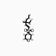 CCCC(C)(/C=C/S(=O)(=O)N1CCOCC1)CC